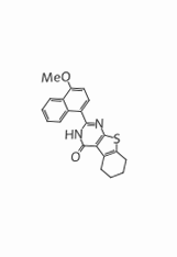 COc1ccc(-c2nc3sc4c(c3c(=O)[nH]2)CCCC4)c2ccccc12